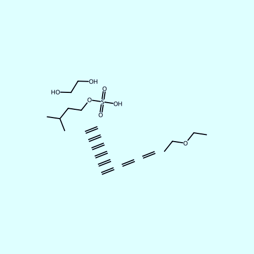 C=C.C=C.C=C.C=C.C=C.C=C.C=C.C=C.CC(C)CCOS(=O)(=O)O.CCOCC.OCCO